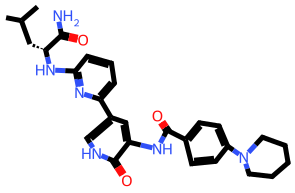 CC(C)C[C@@H](Nc1cccc(-c2c[nH]c(=O)c(NC(=O)c3ccc(N4CCCCC4)cc3)c2)n1)C(N)=O